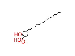 CCCCCCCCCCCCCCCCc1ccc(C(=O)O)c(O)c1